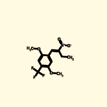 CC/C(=C\c1cc(OC)c(C(F)(F)F)cc1OC)[N+](=O)[O-]